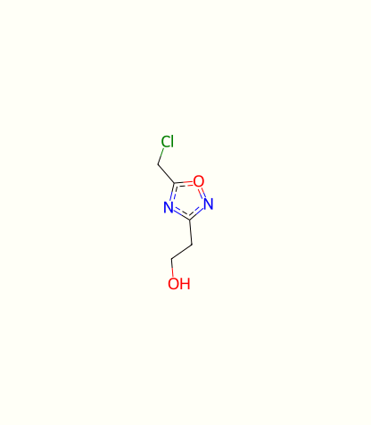 OCCc1noc(CCl)n1